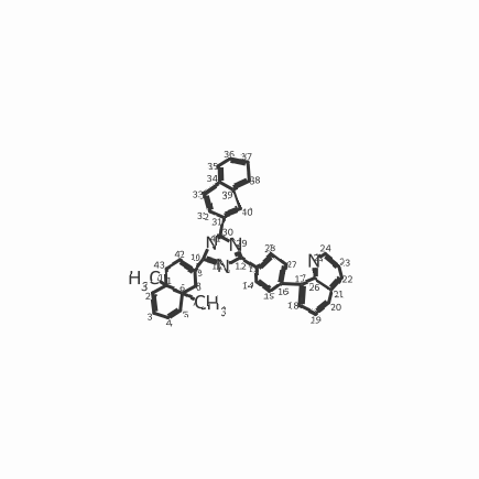 CC12C=CC=CC1(C)CC(c1nc(-c3ccc(-c4cccc5cccnc45)cc3)nc(-c3ccc4ccccc4c3)n1)=CC2